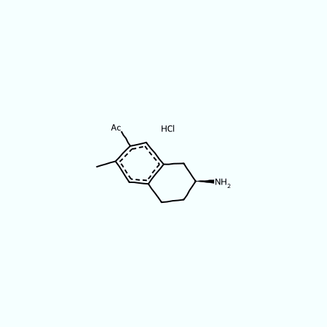 CC(=O)c1cc2c(cc1C)CC[C@H](N)C2.Cl